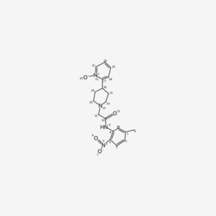 Cc1ccc([N+](=O)[O-])c(NC(=O)CN2CCC(c3cccc[n+]3[O-])CC2)c1